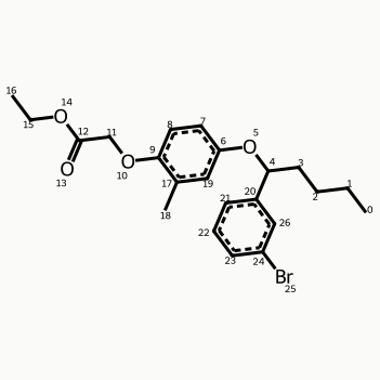 CCCCC(Oc1ccc(OCC(=O)OCC)c(C)c1)c1cccc(Br)c1